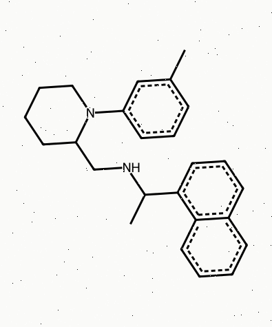 Cc1cccc(N2CCCCC2CNC(C)c2cccc3ccccc23)c1